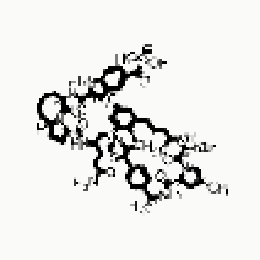 Cc1cc(CCCC(=O)N[C@H](C(=O)N2C[C@H](O)C[C@H]2C(=O)N[C@@H](C)c2ccc(-c3scnc3C)cc2)C(C)(C)C)c(F)c(OCC(CCC(N)=O)NC(=O)[C@@H]2CC[C@@H]3CCCC[C@H](NC(=O)c4cc5cc(C(=O)P(=O)(O)O)ccc5[nH]4)C(=O)N32)c1